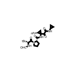 CCC[C@H]1CC1(NC(=O)[C@@H]1CCCN1C(=O)[C@@H](NC=O)C(C)(C)C)C(=O)C(=O)NC1CC1